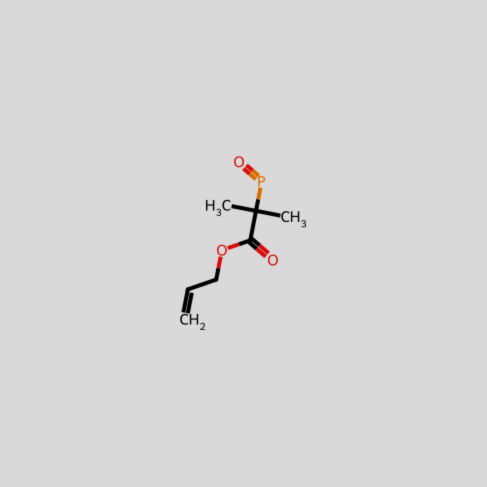 C=CCOC(=O)C(C)(C)P=O